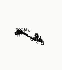 COC1=C2C=[N+]([O-])C3=CCCC[C@@H]3CN2CC1OCCCCCCCCOc1ccc(-n2c(-c3ccccc3)nc3ccc(Cl)cc3c2=O)cc1